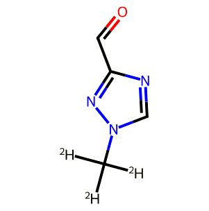 [2H]C([2H])([2H])n1cnc(C=O)n1